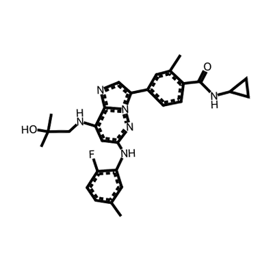 Cc1ccc(F)c(Nc2cc(NCC(C)(C)O)c3ncc(-c4ccc(C(=O)NC5CC5)c(C)c4)n3n2)c1